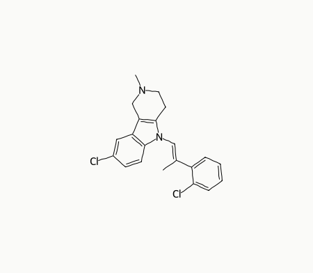 CC(=Cn1c2c(c3cc(Cl)ccc31)CN(C)CC2)c1ccccc1Cl